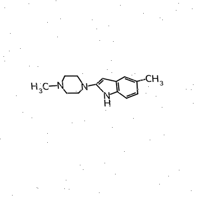 Cc1ccc2[nH]c(N3CCN(C)CC3)cc2c1